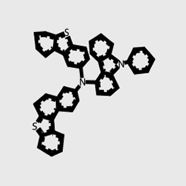 c1ccc(-n2c3ccccc3c3c(N(c4ccc5c(ccc6sc7ccccc7c65)c4)c4ccc5sc6ccccc6c5c4)cccc32)cc1